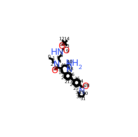 CCCN(CCCNC(=O)OC(C)(C)C)C(=O)C1=Cc2ccc(-c3ccc(C(=O)N4CCCC4)cc3)cc2N=C(N)C1